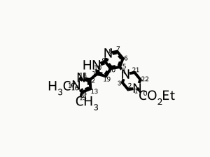 CCOC(=O)N1CCN(c2ccnc3[nH]c(-c4cc(C)n(C)n4)cc23)CC1